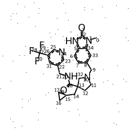 Cn1c(=O)[nH]c2ccc(CN3CCC(CC4CC4)(C(=O)NCc4cncc(C(F)(F)F)c4)C3)cc21